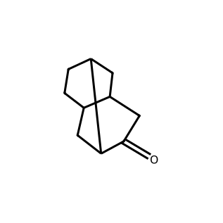 O=C1CC2CC3CCC2CC13